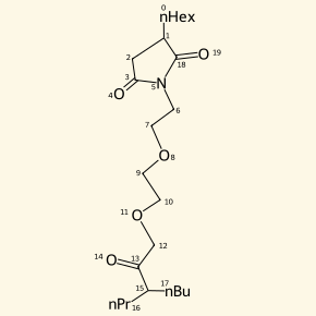 CCCCCCC1CC(=O)N(CCOCCOCC(=O)C(CCC)CCCC)C1=O